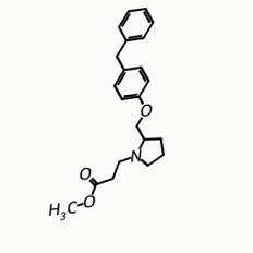 COC(=O)CCN1CCCC1COc1ccc(Cc2ccccc2)cc1